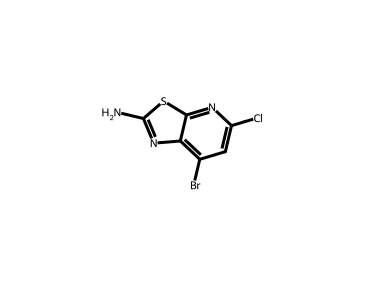 Nc1nc2c(Br)cc(Cl)nc2s1